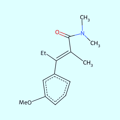 CC/C(=C(/C)C(=O)N(C)C)c1cccc(OC)c1